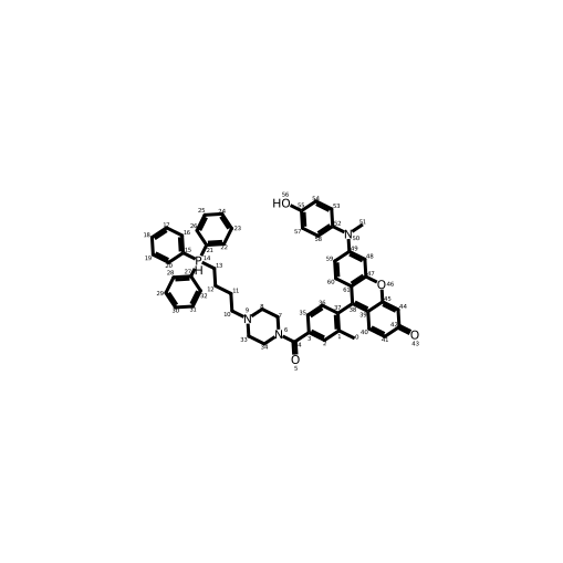 Cc1cc(C(=O)N2CCN(CCCC[PH](c3ccccc3)(c3ccccc3)c3ccccc3)CC2)ccc1-c1c2ccc(=O)cc-2oc2cc(N(C)c3ccc(O)cc3)ccc12